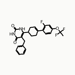 CC(F)(F)Oc1ccc(C2=CCC(c3[nH]c(=O)[nH]c(=O)c3Cc3ccccc3)CC2)c(F)c1